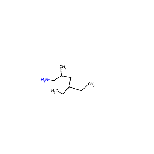 CCC(CC)CC(C)CN